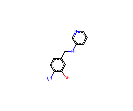 Nc1ccc(CNc2cccnc2)cc1O